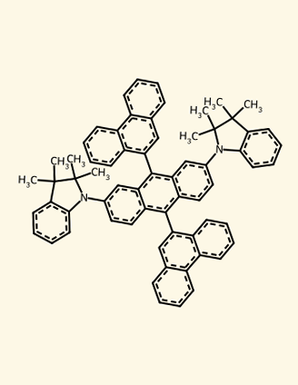 CC1(C)c2ccccc2N(c2ccc3c(-c4cc5ccccc5c5ccccc45)c4ccc(N5c6ccccc6C(C)(C)C5(C)C)cc4c(-c4cc5ccccc5c5ccccc45)c3c2)C1(C)C